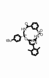 Cc1cccc(C)c1-c1cc2nc(n1)NS(=O)(=O)c1cccc(c1)C(=O)NC[C@@H](c1ccc(C(C)(C)C)cc1)O2